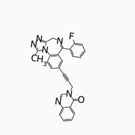 Cc1nnc2n1-c1ccc(C#CCn3cnc4ccccc4c3=O)cc1C(c1ccccc1F)=NC2